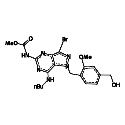 CCCCNc1nc(NC(=O)OC)nc2c(Br)nn(Cc3ccc(CO)cc3OC)c12